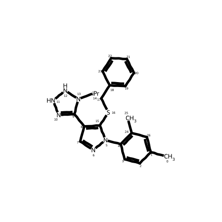 Cc1ccc(-n2ncc(C3=NNNN3C(C)C)c2SCc2ccccc2)c(C)c1